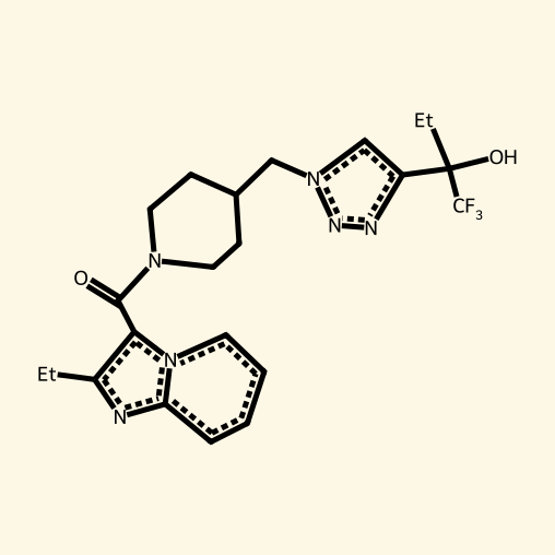 CCc1nc2ccccn2c1C(=O)N1CCC(Cn2cc(C(O)(CC)C(F)(F)F)nn2)CC1